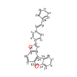 C(=Cc1ccc(-c2cc3c(ccc4oc5ccccc5c43)o2)cc1)c1ccccc1